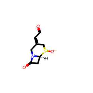 O=CC=C1CN2C(=O)C[C@@H]2[S+]([O-])C1